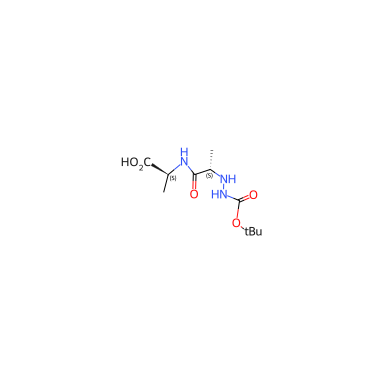 C[C@H](NC(=O)[C@H](C)NNC(=O)OC(C)(C)C)C(=O)O